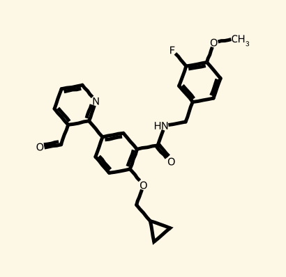 COc1ccc(CNC(=O)c2cc(-c3ncccc3C=O)ccc2OCC2CC2)cc1F